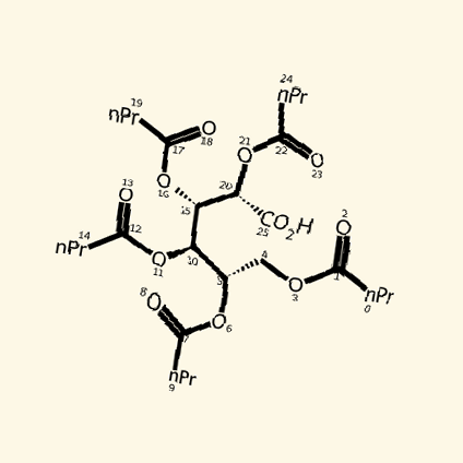 CCCC(=O)OC[C@H](OC(=O)CCC)[C@@H](OC(=O)CCC)[C@H](OC(=O)CCC)[C@H](OC(=O)CCC)C(=O)O